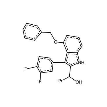 CC(C)C(O)c1[nH]c2cccc(OCc3ccccc3)c2c1-c1ccc(F)c(F)c1